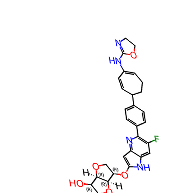 O[C@@H]1CO[C@H]2[C@@H]1OC[C@H]2Oc1cc2nc(-c3ccc(C4C=CC(NC5=NCCO5)=CCC4)cc3)c(F)cc2[nH]1